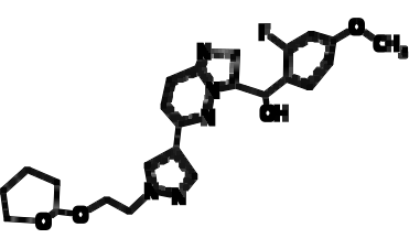 COc1ccc(C(O)c2cnc3ccc(-c4cnn(CCOC5CCCCO5)c4)nn23)c(F)c1